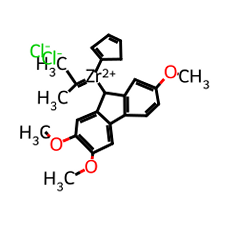 COc1ccc2c(c1)[CH]([Zr+2]([C]1=CC=CC1)=[C](C)C)c1cc(OC)c(OC)cc1-2.[Cl-].[Cl-]